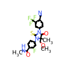 CNC(=O)c1ccc(N2C(=S)N(c3ccc(C#N)c(C(F)(F)F)c3)C(=O)C2(C)COC)cc1F